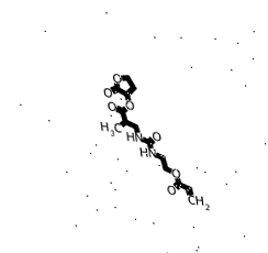 C=CC(=O)OCCNC(=O)NCC(C)C(=O)OC1CCOC1=O